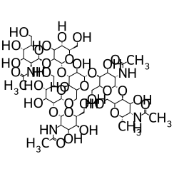 CC(=O)NC1C(O)[C@H](O)[C@H](CO)O[C@H]1O[C@@H]1C(O)[C@H](O)C(CO)O[C@@H]1OCC1O[C@@H](O[C@@H]2C(CO)O[C@@H](O[C@@H]3C(CO)O[C@@H](C)[C@@H](NC(C)=O)C3O)[C@@H](NC(C)=O)C2O)C(O)[C@@H](O[C@H]2O[C@H](CO)[C@@H](O)C(O)C2O[C@@H]2OC(CO)[C@@H](O)C(O)[C@@H]2NC(C)=O)[C@@H]1O